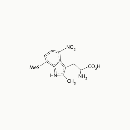 CSc1ccc([N+](=O)[O-])c2c(CC(N)C(=O)O)c(C)[nH]c12